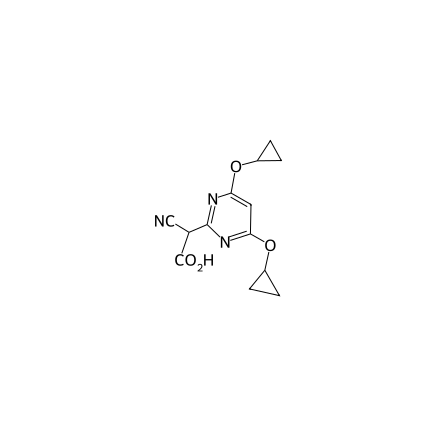 N#CC(C(=O)O)c1nc(OC2CC2)cc(OC2CC2)n1